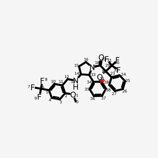 COc1ccc(C(F)(F)F)cc1CNC1CCN(C(=O)[C@](OC)(c2ccccc2)C(F)(F)F)C1c1ccccc1